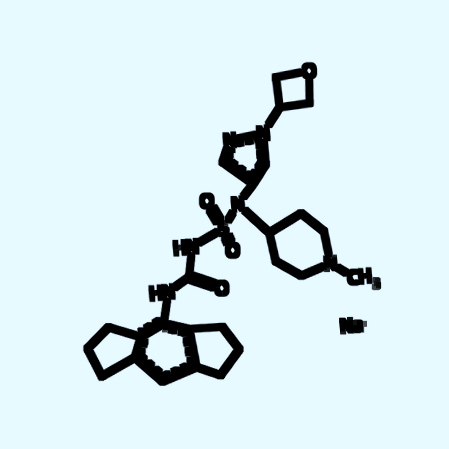 CN1CCC(N(c2cnn(C3COC3)c2)S(=O)(=O)NC(=O)Nc2c3c(cc4c2CCC4)CCC3)CC1.[Na]